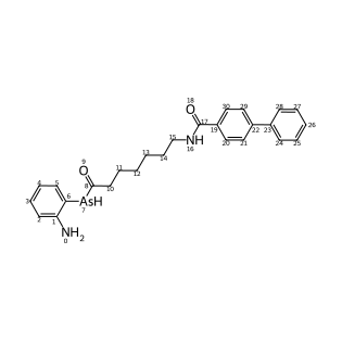 Nc1ccccc1[AsH]C(=O)CCCCCCNC(=O)c1ccc(-c2ccccc2)cc1